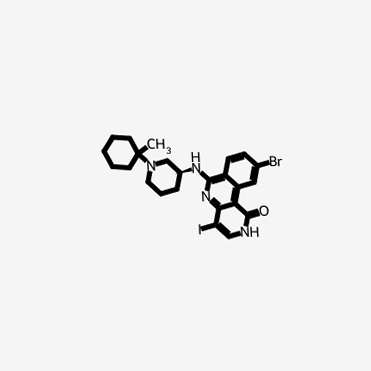 CC1(N2CCC[C@H](Nc3nc4c(I)c[nH]c(=O)c4c4cc(Br)ccc34)C2)CCCCC1